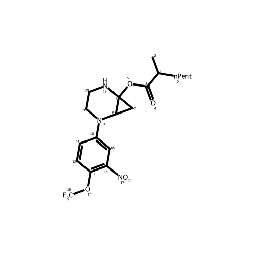 CCCCCC(C)C(=O)OC12CC1N(c1ccc(OC(F)(F)F)c([N+](=O)[O-])c1)CCN2